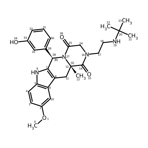 COc1ccc2[nH]c3c(c2c1)C[C@@]1(C)C(=O)N(CCNC(C)(C)C)CC(=O)N1[C@@H]3c1cccc(O)c1